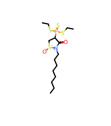 CCCCCCCCN1C(=O)C(P(=S)(SCC)SCC)C[S+]1[O-]